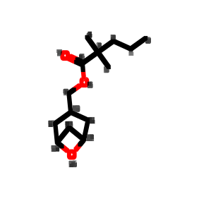 CCCC(C)(C)C(=O)OCC1CC2CC(C1)O2